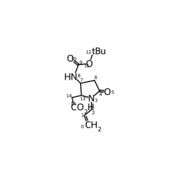 C=CCN1C(=O)CC(NC(=O)OC(C)(C)C)C1CC(=O)O